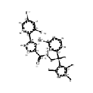 Cc1nn(C)c(C)c1C(C)(CNC(=O)c1cc(-c2ncc(F)cc2F)no1)c1cccc(C#N)n1